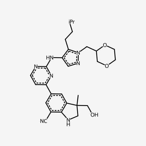 CC(C)CCc1c(Nc2nccc(-c3cc(C#N)c4c(c3)C(C)(CO)CN4)n2)cnn1CC1COCCO1